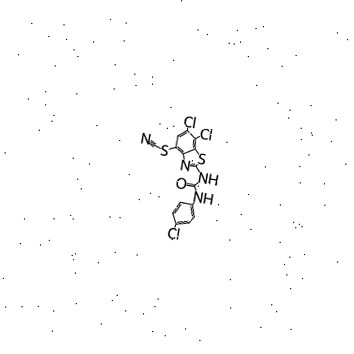 N#CSc1cc(Cl)c(Cl)c2sc(NC(=O)Nc3ccc(Cl)cc3)nc12